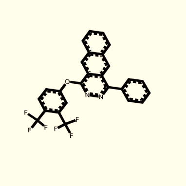 FC(F)(F)c1ccc(Oc2nnc(-c3ccccc3)c3cc4ccccc4cc23)cc1C(F)(F)F